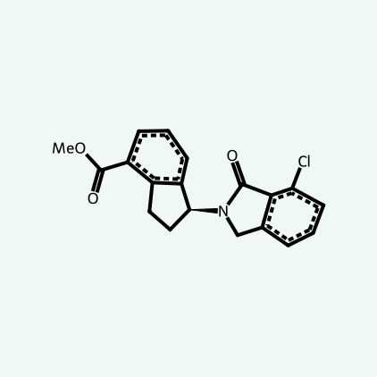 COC(=O)c1cccc2c1CC[C@@H]2N1Cc2cccc(Cl)c2C1=O